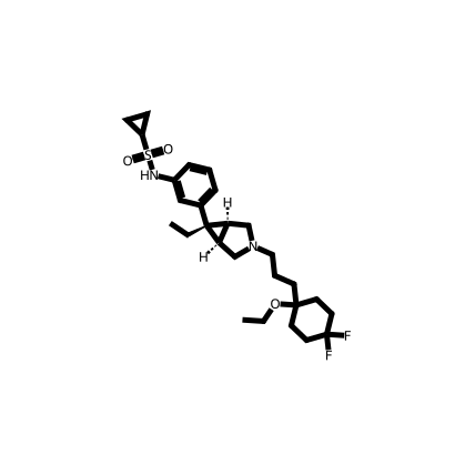 CCOC1(CCCN2C[C@@H]3[C@H](C2)[C@@]3(CC)c2cccc(NS(=O)(=O)C3CC3)c2)CCC(F)(F)CC1